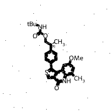 COc1cc(C)c2[nH]c(=O)c3csc(-c4ccc([C@@H](C)COC(=O)NC(C)(C)C)cc4)c3c2c1